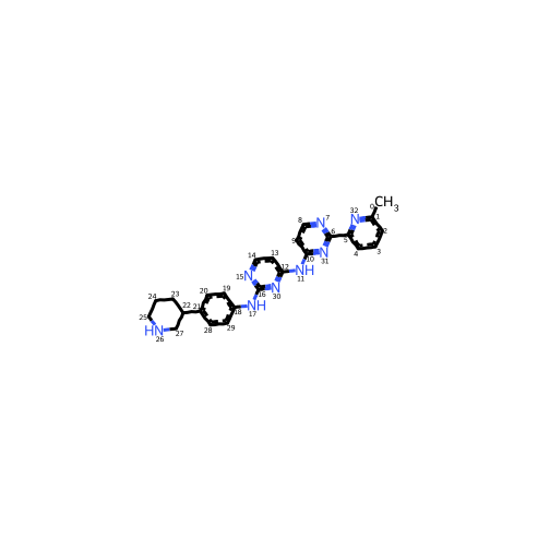 Cc1cccc(-c2nccc(Nc3ccnc(Nc4ccc(C5CCCNC5)cc4)n3)n2)n1